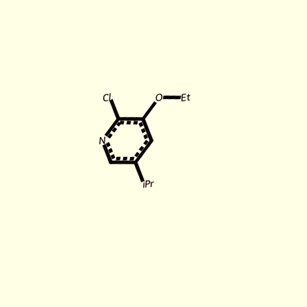 CCOc1cc(C(C)C)cnc1Cl